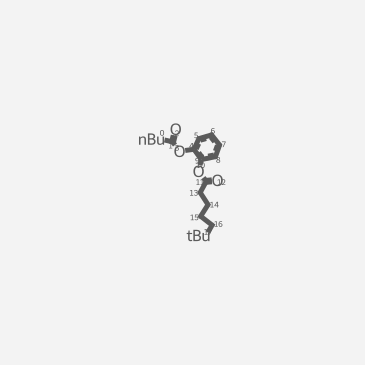 CCCCC(=O)Oc1ccccc1OC(=O)CCCCC(C)(C)C